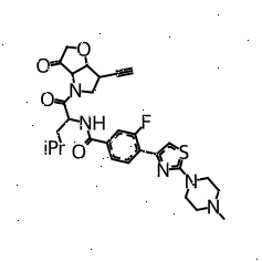 C#CC1CN(C(=O)C(CC(C)C)NC(=O)c2ccc(-c3csc(N4CCN(C)CC4)n3)c(F)c2)C2C(=O)COC12